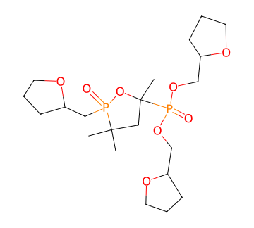 CC1(C)CC(C)(P(=O)(OCC2CCCO2)OCC2CCCO2)OP1(=O)CC1CCCO1